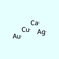 [Ag].[Au].[Ca].[Cu]